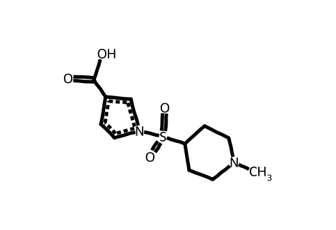 CN1CCC(S(=O)(=O)n2ccc(C(=O)O)c2)CC1